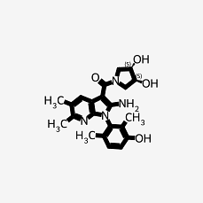 Cc1cc2c(C(=O)N3C[C@H](O)[C@@H](O)C3)c(N)n(-c3c(C)ccc(O)c3C)c2nc1C